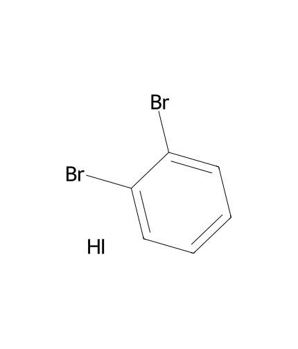 Brc1ccccc1Br.I